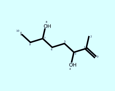 C=C(C)C(O)CCC(O)CI